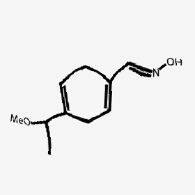 COC(C)C1=CCC(/C=N/O)=CC1